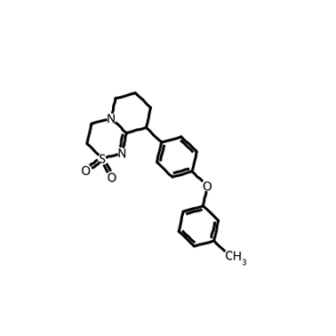 Cc1cccc(Oc2ccc(C3CCCN4CCS(=O)(=O)N=C34)cc2)c1